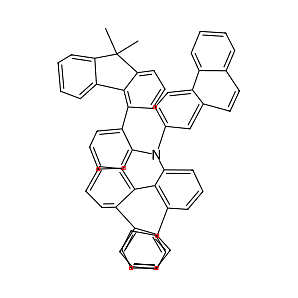 CC1(C)c2ccccc2-c2c(-c3ccccc3N(c3ccc4c(ccc5ccccc54)c3)c3cccc(-c4ccccc4)c3-c3ccccc3-c3ccccc3)cccc21